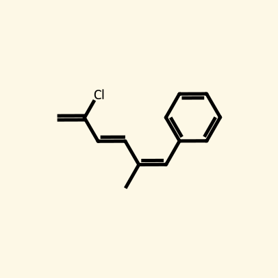 C=C(Cl)C=CC(C)=Cc1ccccc1